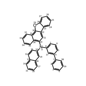 c1ccc(-c2cccc(N(c3ccc4ccccc4c3)c3cc4c5ccccc5oc4c4ccccc34)c2)cc1